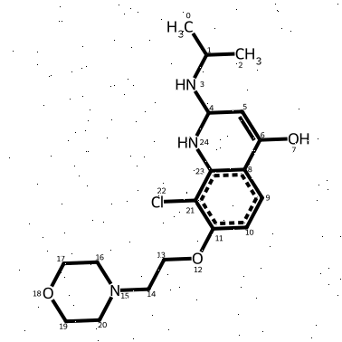 CC(C)NC1C=C(O)c2ccc(OCCN3CCOCC3)c(Cl)c2N1